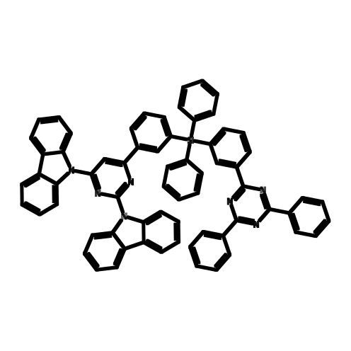 c1ccc(-c2nc(-c3ccccc3)nc(-c3cccc([Si](c4ccccc4)(c4ccccc4)c4cccc(-c5cc(-n6c7ccccc7c7ccccc76)nc(-n6c7ccccc7c7ccccc76)n5)c4)c3)n2)cc1